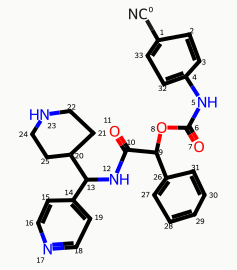 N#Cc1ccc(NC(=O)OC(C(=O)NC(c2ccncc2)C2CCNCC2)c2ccccc2)cc1